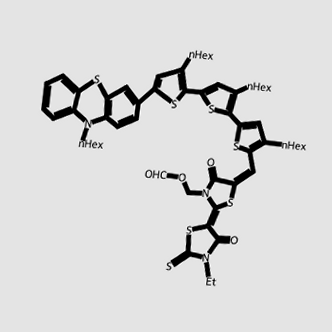 CCCCCCc1cc(-c2sc(-c3sc(-c4ccc5c(c4)Sc4ccccc4N5CCCCCC)cc3CCCCCC)cc2CCCCCC)sc1/C=c1/s/c(=C2/SC(=S)N(CC)C2=O)n(COC=O)c1=O